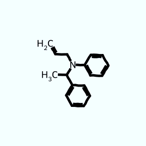 C=CCN(c1ccccc1)C(C)c1ccccc1